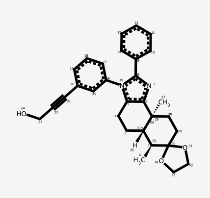 C[C@H]1[C@@H]2CCc3c(nc(-c4ccccc4)n3-c3cccc(C#CCO)c3)[C@@]2(C)CCC12OCCO2